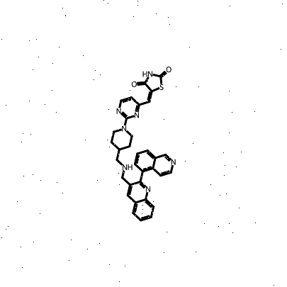 O=C1NC(=O)/C(=C\c2ccnc(N3CCC(CNCc4cc5ccccc5nc4-c4cccc5cnccc45)CC3)n2)S1